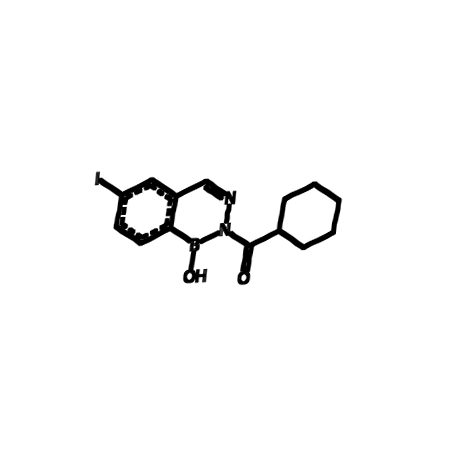 O=C(C1CCCCC1)N1N=Cc2cc(I)ccc2B1O